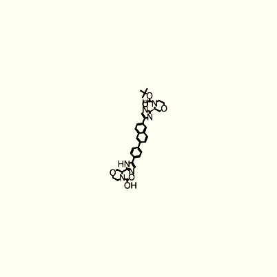 CC(C)(C)OC(=O)N1CCOC[C@H]1c1nc(-c2ccc3cc(-c4ccc(-c5cnc(C6COCCN6C(=O)O)[nH]5)cc4)ccc3c2)c[nH]1